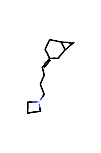 C(/CCCN1CCC1)=C1\CCC2CC2C1